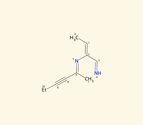 C/C=C(C=N)\N=C(/C)C#CCC